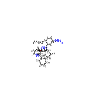 COc1ccc(N)cc1CN[C@H]1C2CCN(CC2C)C1(c1ccccc1)c1ccccc1